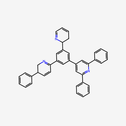 C1=CCC(c2cc(C3=NCC(c4ccccc4)C=C3)cc(-c3cc(-c4ccccc4)nc(-c4ccccc4)c3)c2)N=C1